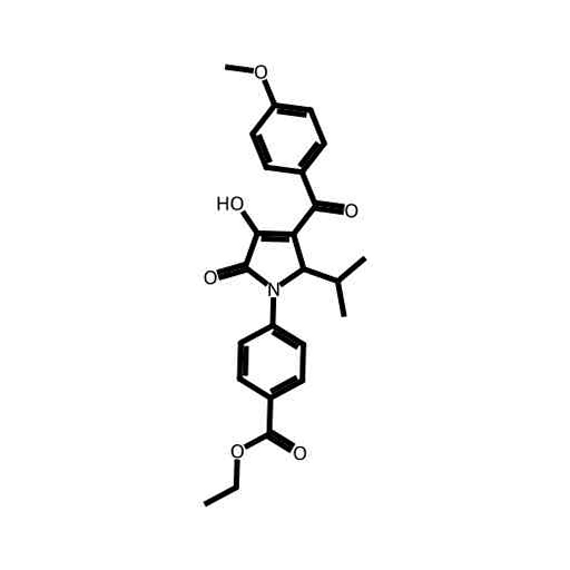 CCOC(=O)c1ccc(N2C(=O)C(O)=C(C(=O)c3ccc(OC)cc3)C2C(C)C)cc1